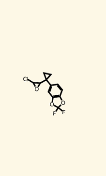 FC1(F)Oc2ccc(C3(C4OC4Cl)CC3)cc2O1